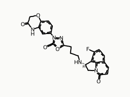 O=C1COc2ccc(-n3nc(CCCN[C@H]4Cn5c(=O)ccc6ccc(F)c4c65)oc3=O)cc2N1